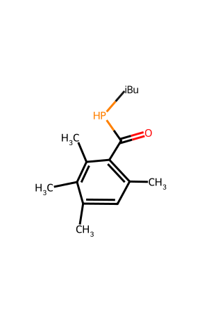 CCC(C)PC(=O)c1c(C)cc(C)c(C)c1C